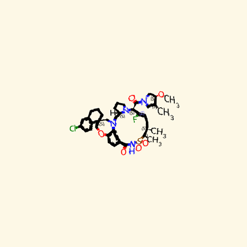 CO[C@@H]1CN(C(=O)[C@H]2/C(F)=C/C[C@H](C)[C@@H](C)S(=O)(=O)NC(=O)c3ccc4c(c3)N(C[C@@H]3CCCN32)C[C@@]2(CCCc3cc(Cl)ccc32)CO4)C[C@@H]1C